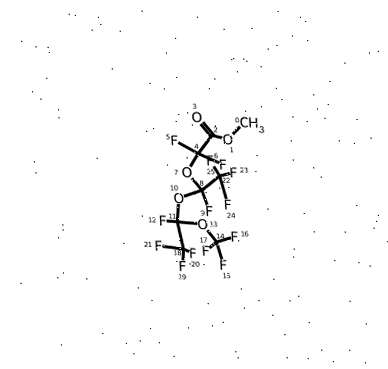 COC(=O)C(F)(F)OC(F)(OC(F)(OC(F)(F)F)C(F)(F)F)C(F)(F)F